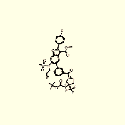 CNC(=O)c1c(-c2ccc(F)cc2)oc2cc(N(CCF)S(C)(=O)=O)c(-c3cccc(C(=O)N4CCC(NC(=O)OC(C)(C)C)(C(F)(F)F)C4)c3)cc12